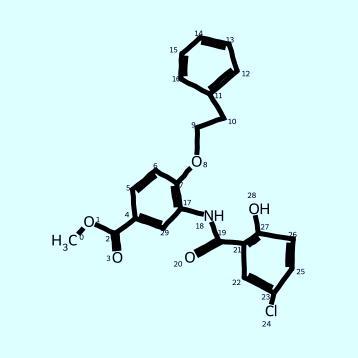 COC(=O)c1ccc(OCCc2ccccc2)c(NC(=O)c2cc(Cl)ccc2O)c1